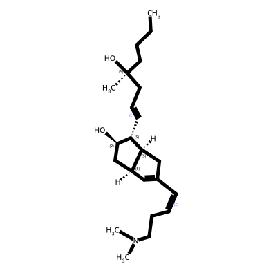 CCCC[C@](C)(O)C/C=C/[C@@H]1[C@H]2CC(/C=C\CCN(C)C)=C[C@H]2C[C@H]1O